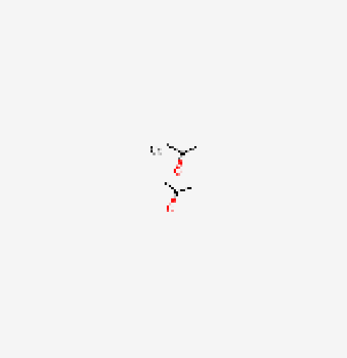 CC(C)=O.CC(C)=O.[Co]